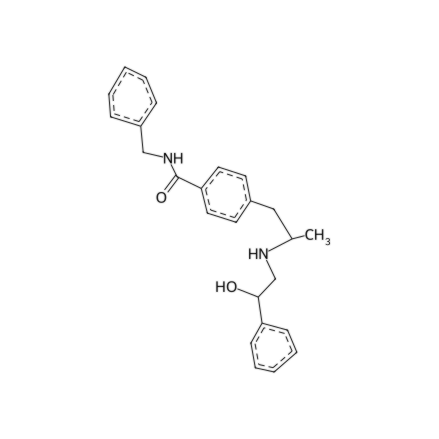 CC(Cc1ccc(C(=O)NCc2ccccc2)cc1)NCC(O)c1ccccc1